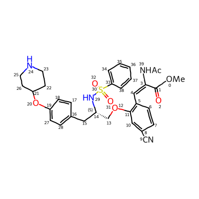 COC(=O)C(=Cc1ccc(C#N)cc1OC[C@H](Cc1ccc(OC2CCNCC2)cc1)NS(=O)(=O)c1ccccc1)NC(C)=O